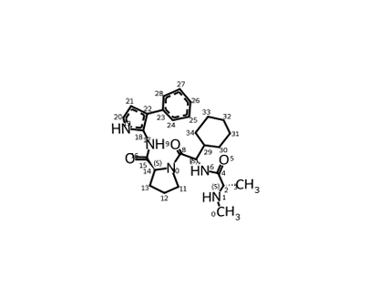 CN[C@@H](C)C(=O)N[C@H](C(=O)N1CCC[C@H]1C(=O)Nc1[nH]ccc1-c1ccccc1)C1CCCCC1